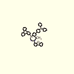 C=C1/C=C(c2cccc3c2oc2ccccc23)\C=C/CN(c2ccc3c4ccccc4c4ccccc4c3c2)c2ccc(-c3ccc(N(c4ccccc4)c4ccccc4)cc3)cc21